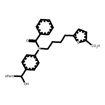 CCCCCC(O)c1ccc(N(CCCCc2ccc(C(=O)O)s2)C(=O)c2ccccc2)cc1